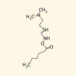 CCCCCC(=O)ONC=[SH]CCN(C)C